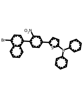 O=[N+]([O-])c1cc(-c2ccc(N(c3ccccc3)c3ccccc3)s2)ccc1-c1ccc(Br)c2ccccc12